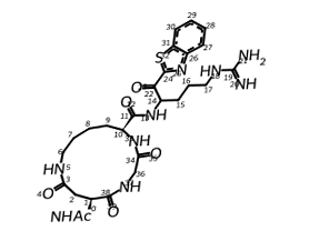 CC(=O)N[C@H]1CC(=O)NCCCC[C@@H](C(=O)NC(CCCNC(=N)N)C(=O)c2nc3ccccc3s2)NC(=O)CNC1=O